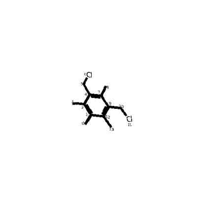 Cc1c(C)c(CCl)c(C)c(CCl)c1C